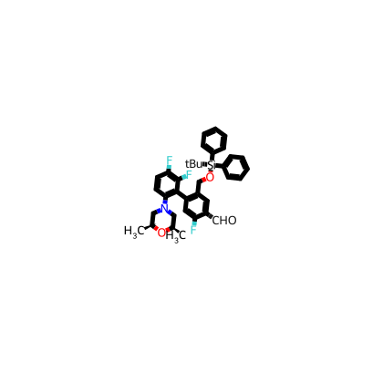 C[C@@H]1CN(c2ccc(F)c(F)c2-c2cc(F)c(C=O)cc2CO[Si](c2ccccc2)(c2ccccc2)C(C)(C)C)C[C@H](C)O1